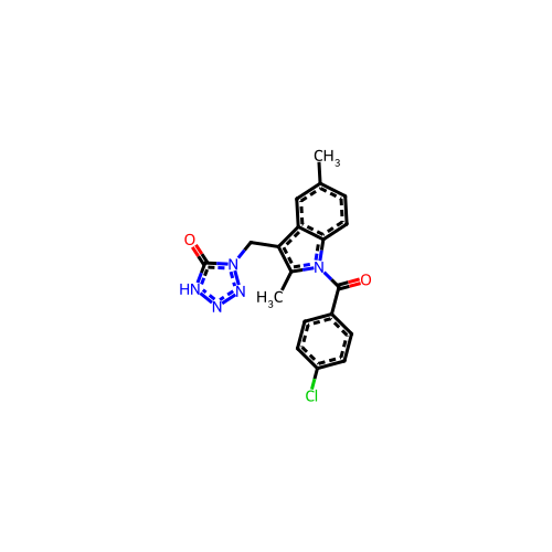 Cc1ccc2c(c1)c(Cn1nn[nH]c1=O)c(C)n2C(=O)c1ccc(Cl)cc1